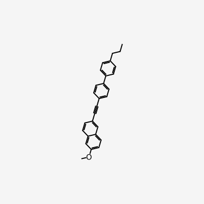 CCCc1ccc(-c2ccc(C#Cc3ccc4cc(OC)ccc4c3)cc2)cc1